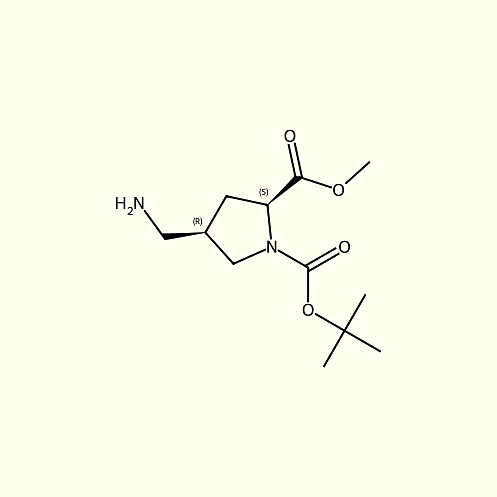 COC(=O)[C@@H]1C[C@H](CN)CN1C(=O)OC(C)(C)C